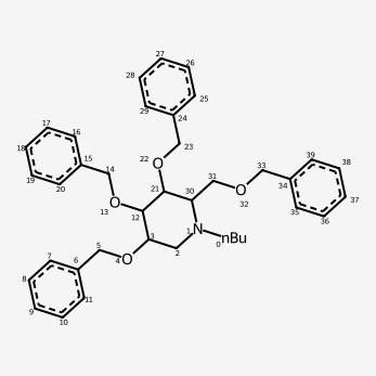 CCCCN1CC(OCc2ccccc2)C(OCc2ccccc2)C(OCc2ccccc2)C1COCc1ccccc1